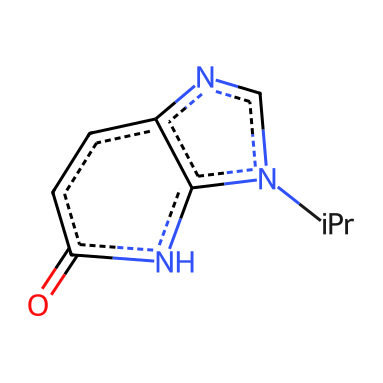 CC(C)n1cnc2ccc(=O)[nH]c21